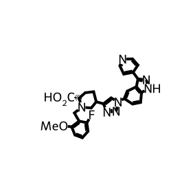 COc1cccc(F)c1CN1CC(c2cn(-c3ccc4[nH]nc(-c5ccncc5)c4c3)nn2)CC[C@H]1C(=O)O